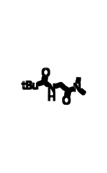 CN(C)C(=O)CNC(=O)C(C)(C)C